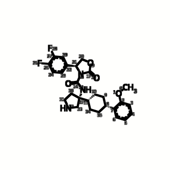 COc1ccccc1[C@H]1CC[C@@H]([C@]2(NC(=O)N3C(=O)OC[C@@H]3c3ccc(F)c(F)c3)CCNC2)CC1